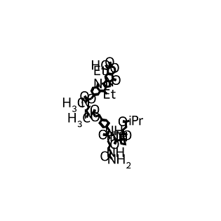 CCc1c2c(nc3ccc(OC(=O)N(C)CCN(C)C(=O)OCc4ccc(NC(=O)[C@H](CCCNC(N)=O)NC(=O)C5(NC(=O)CCC(=O)C(C)C)CCC5)cc4)cc13)-c1cc3c(c(=O)n1C2)COC(=O)[C@]3(O)CC